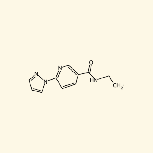 [CH2]CNC(=O)c1ccc(-n2cccn2)nc1